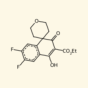 CCOC(=O)C1=C(O)c2cc(F)c(F)cc2C2(CCOCC2)C1=O